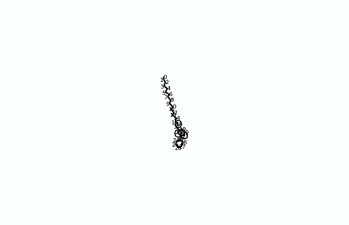 CCCCCCCCCCCCCCCCOCC1CCOC(c2ccccc2)O1